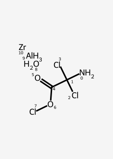 NC(Cl)(Cl)C(=O)OCl.O.[AlH3].[Zr]